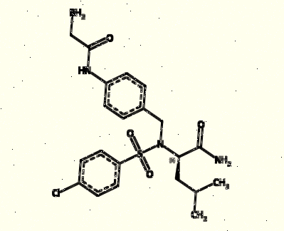 BCC(=O)Nc1ccc(CN([C@H](CC(C)C)C(N)=O)S(=O)(=O)c2ccc(Cl)cc2)cc1